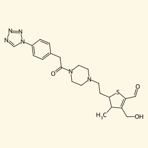 CC1C(CO)=C(C=O)SC1CCN1CCN(C(=O)Cc2ccc(-n3cnnn3)cc2)CC1